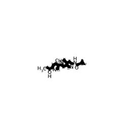 CC[C@@H](O)c1cc(C)c(-c2cc3cnc(NC(=O)C4CC4)cc3cn2)cn1